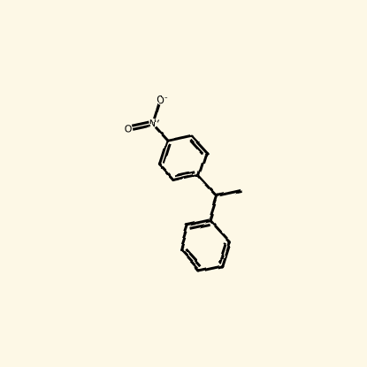 CC(c1ccccc1)c1ccc([N+](=O)[O-])cc1